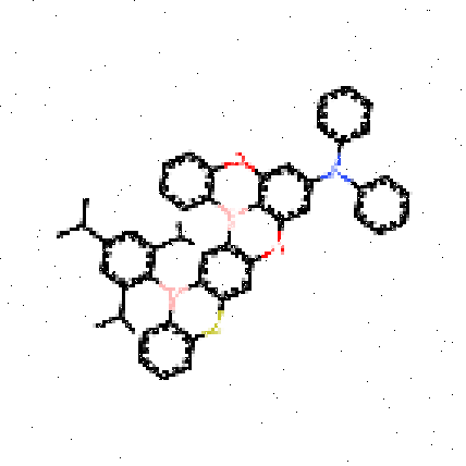 CC(C)c1cc(C(C)C)c(B2c3ccccc3Sc3cc4c(cc32)B2c3ccccc3Oc3cc(N(c5ccccc5)c5ccccc5)cc(c32)O4)c(C(C)C)c1